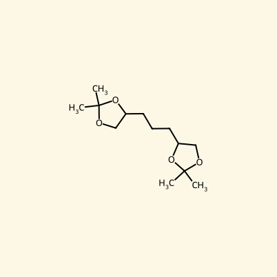 CC1(C)OCC(CCCC2COC(C)(C)O2)O1